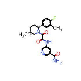 Cc1cc([C@H]2CC[C@H](C)CN2C(=O)C(=O)Nc2cncc(C(N)=O)c2)ccc1F